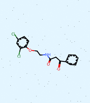 O=C(CC(=O)c1ccccc1)NCCOc1ccc(Cl)cc1Cl